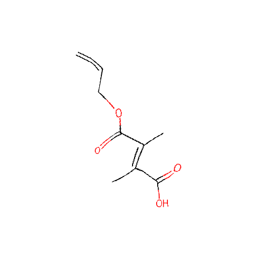 C=CCOC(=O)/C(C)=C(\C)C(=O)O